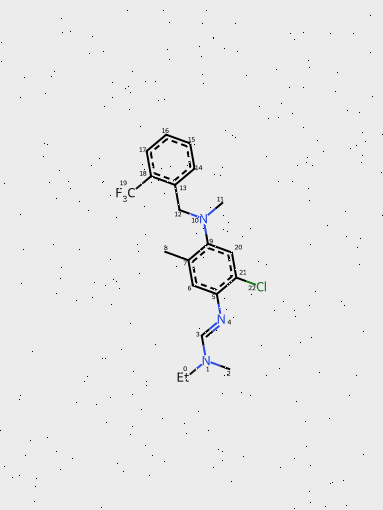 CCN(C)C=Nc1cc(C)c(N(C)Cc2ccccc2C(F)(F)F)cc1Cl